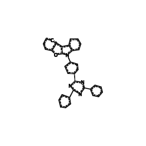 c1ccc(-c2nc(-c3ccccc3)nc(-c3ccc(-n4c5ccccc5c5c6ccccc6oc54)cc3)n2)cc1